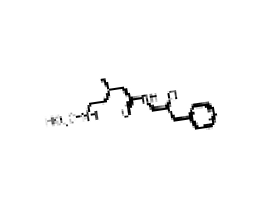 CC(CCNC(=O)O)CC(=O)NCC(=O)Cc1ccccc1